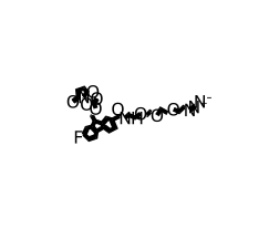 [N-]=[N+]=NCCOCCOCCOCCNC(=O)c1ccc2c(c1)C(COC(=O)ON1C(=O)CCC1=O)c1cc(F)ccc1-2